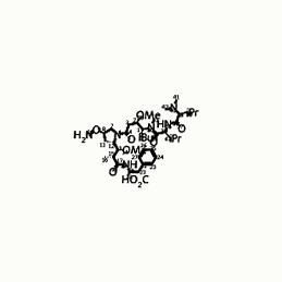 CC[C@H](C)[C@@H]([C@@H](CC(=O)N1C[C@H](ON)C[C@H]1[C@H](OC)[C@@H](C)C(=O)N[C@@H](Cc1ccccc1)C(=O)O)OC)N(C)C(=O)[C@@H](NC(=O)[C@H](C(C)C)N(C)C)C(C)C